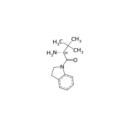 CC(C)(C)[C@@H](N)C(=O)N1CCc2ccccc21